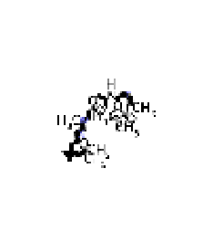 CC(/C=C/C1CC2(CC2)CC(C)(C)O1)=C\C[C@H]1OC[C@@H](NC(=O)/C=C\[C@H](C)OC(=O)N(C)C)CO1